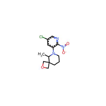 CC1N(c2cc(Cl)cnc2[N+](=O)[O-])CCCC12COC2